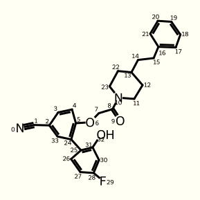 N#Cc1ccc(OCC(=O)N2CCC(CCc3ccccc3)CC2)c(-c2ccc(F)cc2O)c1